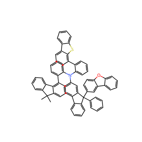 CC1(C)c2ccccc2-c2c(-c3ccccc3N(c3ccc4c(c3)C(c3ccccc3)(c3ccc5oc6ccccc6c5c3)c3ccccc3-4)c3ccccc3-c3cccc4c3sc3ccccc34)cccc21